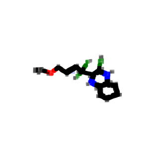 COC/C=C/C(F)(F)c1nc2ccccc2nc1Cl